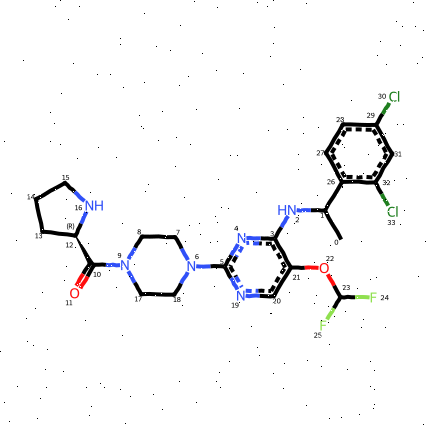 CC(Nc1nc(N2CCN(C(=O)[C@H]3CCCN3)CC2)ncc1OC(F)F)c1ccc(Cl)cc1Cl